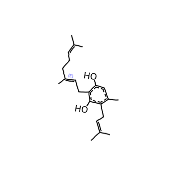 CC(C)=CCC/C(C)=C/Cc1c(O)cc(C)c(CC=C(C)C)c1O